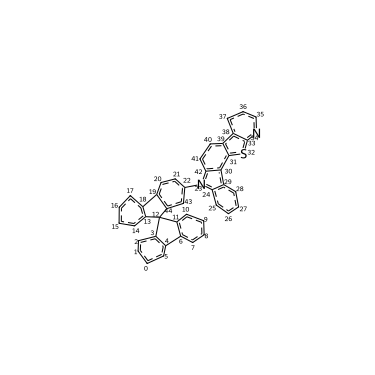 c1ccc2c(c1)-c1ccccc1C21c2ccccc2-c2ccc(-n3c4ccccc4c4c5sc6ncccc6c5ccc43)cc21